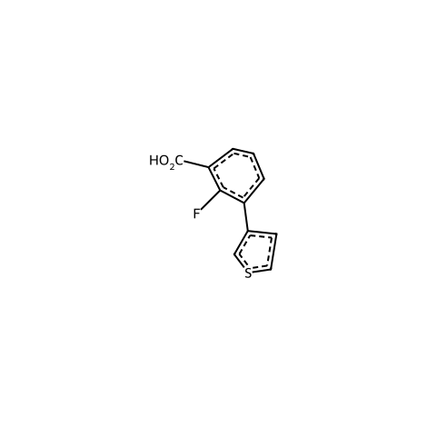 O=C(O)c1cccc(-c2ccsc2)c1F